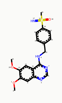 COc1cc2ncnc(NCc3ccc(S(C)(=N)=O)cc3)c2cc1OC